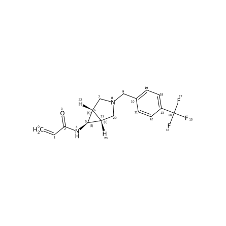 C=CC(=O)N[C@H]1[C@@H]2CN(Cc3ccc(C(F)(F)F)cc3)C[C@@H]21